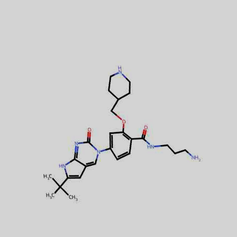 CC(C)(C)c1cc2cn(-c3ccc(C(=O)NCCCN)c(OCC4CCNCC4)c3)c(=O)nc2[nH]1